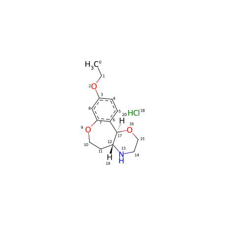 CCOc1ccc2c(c1)OCC[C@H]1NCCO[C@H]21.Cl